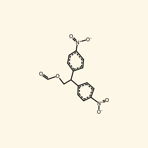 O=COCC(c1ccc([N+](=O)[O-])cc1)c1ccc([N+](=O)[O-])cc1